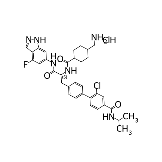 CC(C)NC(=O)c1ccc(-c2ccc(C[C@H](NC(=O)C3CCC(CN)CC3)C(=O)Nc3cc(F)c4cn[nH]c4c3)cc2)c(Cl)c1.Cl